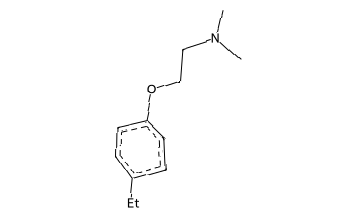 CCc1ccc(OCCN(C)C)cc1